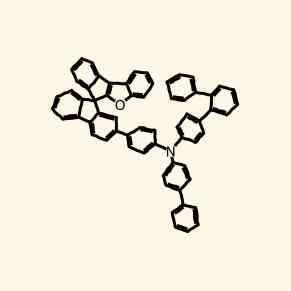 c1ccc(-c2ccc(N(c3ccc(-c4ccc5c(c4)C4(c6ccccc6-5)c5ccccc5-c5c4oc4ccccc54)cc3)c3ccc(-c4ccccc4-c4ccccc4)cc3)cc2)cc1